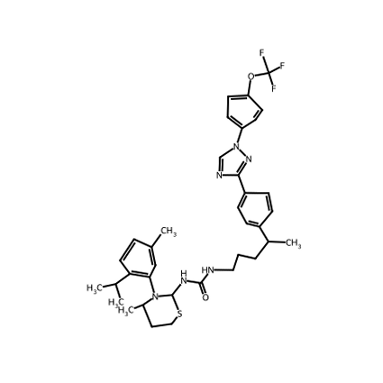 Cc1ccc(C(C)C)c(N2C(C)CCSC2NC(=O)NCCCC(C)c2ccc(-c3ncn(-c4ccc(OC(F)(F)F)cc4)n3)cc2)c1